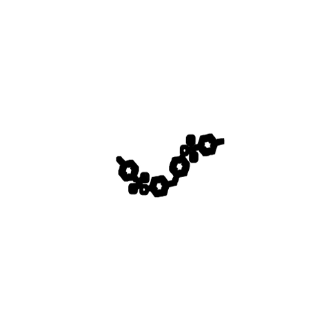 Cc1ccc(S(=O)(=O)Oc2ccc(Cc3ccc(OS(=O)(=O)c4ccc(C)cc4)cc3)cc2)cc1